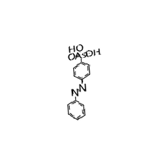 O=[As](O)(O)c1ccc(N=Nc2ccccc2)cc1